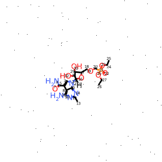 [2H]C1(n2cc(C(N)=O)c3c(N)nc(C)nc32)OC(COCP(=O)(OCC)OCC)C(O)C1O